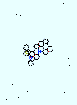 c1ccc(-n2c3ccccc3c3ccc(N(c4ccccc4-c4cccc5cccc(C6CCCCC6)c45)c4ccccc4-c4cccc5sc6ccccc6c45)cc32)cc1